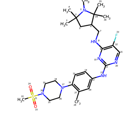 CN1C(C)(C)CC(CNc2nc(Nc3ccc(N4CCN(S(C)(=O)=O)CC4)c(C(F)(F)F)c3)ncc2F)C1(C)C